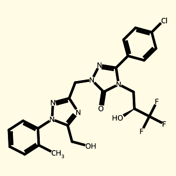 Cc1ccccc1-n1nc(Cn2nc(-c3ccc(Cl)cc3)n(C[C@H](O)C(F)(F)F)c2=O)nc1CO